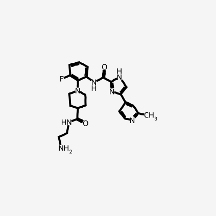 Cc1cc(-c2c[nH]c(C(=O)Nc3cccc(F)c3N3CCC(C(=O)NCCN)CC3)n2)ccn1